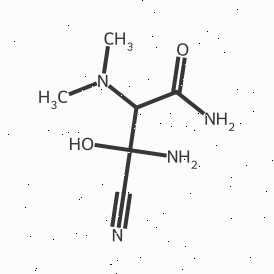 CN(C)C(C(N)=O)C(N)(O)C#N